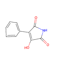 O=C1NC(=O)C(c2ccccc2)=C1O